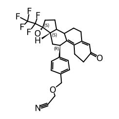 C[C@]12C[C@H](c3ccc(COCC#N)cc3)C3=C4CCC(=O)C=C4CCC3C1CC[C@@]2(O)C(F)(F)C(F)(F)F